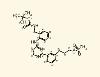 CC(C)(C)OC(=O)NCc1ccccc1Nc1ncnc(-c2cccc(CCCOS(C)(=O)=O)c2)n1